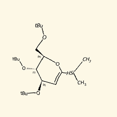 C[SiH](C)C1=C[C@@H](OC(C)(C)C)[C@H](OC(C)(C)C)[C@@H](COC(C)(C)C)O1